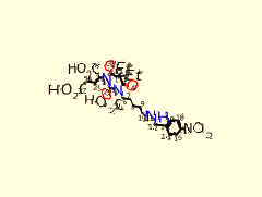 CCC1(CC)C(=O)N(C(CCCCNCc2ccc([N+](=O)[O-])cc2)C(=O)O)C(=O)N([C@@H](CCC(=O)O)C(=O)O)C1=O